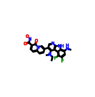 CCN(C)c1c(-c2ccc3ccc(C(=O)N=O)c(=O)n3c2)cnc2[nH]c3c(NC)cc(F)c(F)c3c12